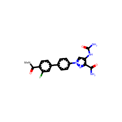 CNC(=O)c1ccc(-c2ccc(-n3cc(NC(N)=O)c(C(N)=O)n3)cc2)cc1F